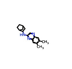 Cc1cc2ncc(NC3CC4CCC3C4)nc2cc1C